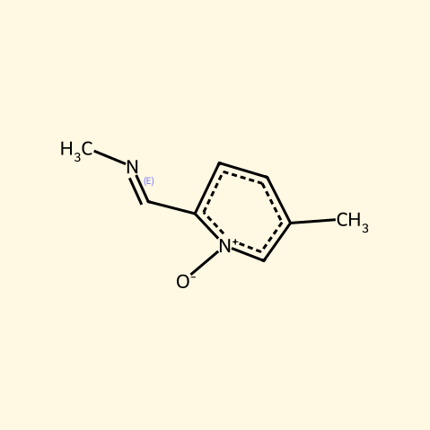 C/N=C/c1ccc(C)c[n+]1[O-]